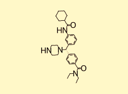 CCN(CC)C(=O)c1ccc([C@@H](c2cccc(NC(=O)C3CCCCC3)c2)N2CCNCC2)cc1